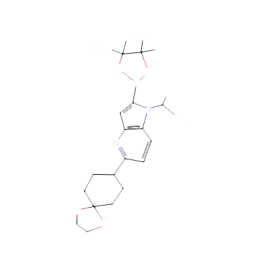 CC(C)n1c(B2OC(C)(C)C(C)(C)O2)cc2nc(C3CCC4(CC3)OCCO4)ccc21